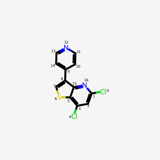 Clc1cc(Cl)c2scc(-c3ccncc3)c2n1